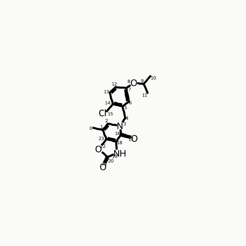 Cc1cn(Cc2cc(OC(C)C)ccc2Cl)c(=O)c2[nH]c(=O)oc12